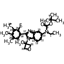 CCN(C(=O)OC(C)(C)C)c1ccc2c(c1)nc(-c1cc(C)c(C)c(C)c1F)n2C1(C)COC1